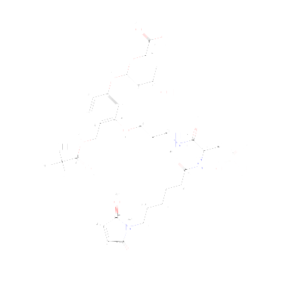 CC(C)(C)C(=O)OCc1ccc(OC2CC(O)CC(C(=O)O)O2)cc1OCCCNC(=O)C(CS(=O)(=O)O)NC(=O)CCCCCN1C(=O)C=CC1=O